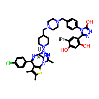 CC1=NN(N2CCC(CN3CCN(Cc4ccc(-n5c(O)nnc5-c5cc(C(C)C)c(O)cc5O)cc4)CC3)CC2)[C@@H]2N=C(c3ccc(Cl)cc3)c3c(sc(C)c3C)N1C2=N